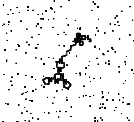 CS(=O)(=O)OCCCCCCN1CCN(c2cc(N3CCCC3)nc(N3CCCC3)n2)CC1